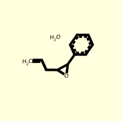 C=CCC1OC1c1ccccc1.O